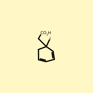 O=C(O)CC1(I)C=CC=CC1